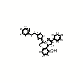 O=C(C1CC=C(CCc2ccccn2)S1)N1N=C(c2cccnc2)CC1c1ccccc1O